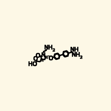 N=C(N)c1ccc(-c2ccc(OC[C@@H]3C[C@@H](CC(=O)O)C(=O)N3CCN)cc2)cc1